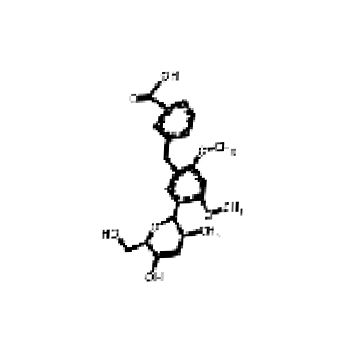 COc1cc(OC)c(C2OC(CO)C(O)=CC2C)cc1Cc1cccc(C(=O)O)c1